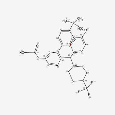 CC(C)(C)c1ccc(-c2cc(CC(=O)O)ccc2C(c2ccc(F)cc2)N2CCC(C(F)(F)F)CC2)cc1